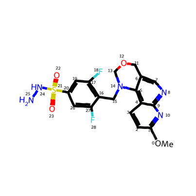 COc1ccc2c3c(cnc2n1)COCN3Cc1c(F)cc(S(=O)(=O)NN)cc1F